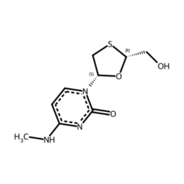 CNc1ccn([C@@H]2CS[C@H](CO)O2)c(=O)n1